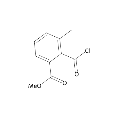 COC(=O)c1cccc(C)c1C(=O)Cl